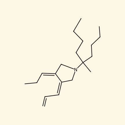 C=C/C=C1/CN(C(C)(CCCC)CCCC)C/C1=C/CC